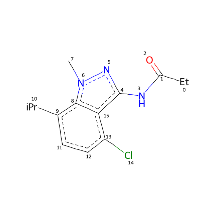 CCC(=O)Nc1nn(C)c2c(C(C)C)ccc(Cl)c12